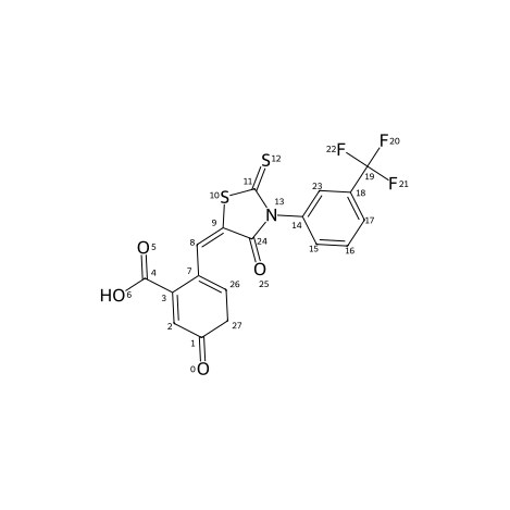 O=C1C=C(C(=O)O)C(C=C2SC(=S)N(c3cccc(C(F)(F)F)c3)C2=O)=CC1